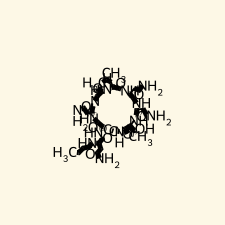 CCCC(=O)NC(CCN)C(=O)N[C@H]1CCNC(=O)[C@H]([C@@H](C)O)NC(=O)[C@H](CCN)NC(=O)[C@H](CCN)NC(=O)[C@H](CC(C)C)NC(=O)CNC(=O)[C@H](CCN)NC1=O